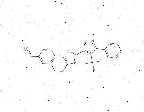 C=Cc1ccc2c(c1)CCc1nc(-c3onc(-c4ccccc4)c3C(F)(F)F)oc1-2